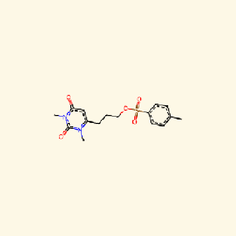 Cc1ccc(S(=O)(=O)OCCCc2cc(=O)n(C)c(=O)n2C)cc1